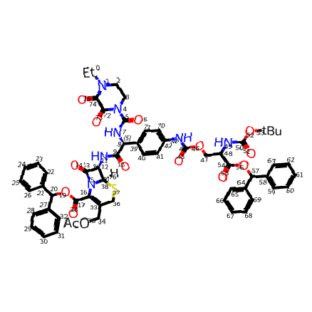 CCN1CCN(C(=O)N[C@H](C(=O)N[C@@H]2C(=O)N3C(C(=O)OC(c4ccccc4)c4ccccc4)=C(COC(C)=O)CS[C@H]23)c2ccc(NC(=O)OCC(NC(=O)OC(C)(C)C)C(=O)OC(c3ccccc3)c3ccccc3)cc2)C(=O)C1=O